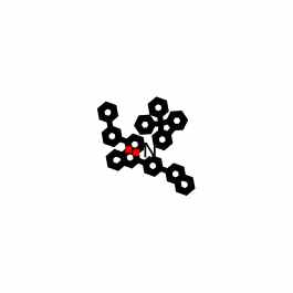 c1ccc(-c2cccc(-c3ccc(N(c4ccc5c(c4)C(c4ccccc4)(c4ccccc4)c4ccccc4-5)c4cc(-c5ccc6ccccc6c5)ccc4-c4ccc5ccccc5c4)cc3)c2)cc1